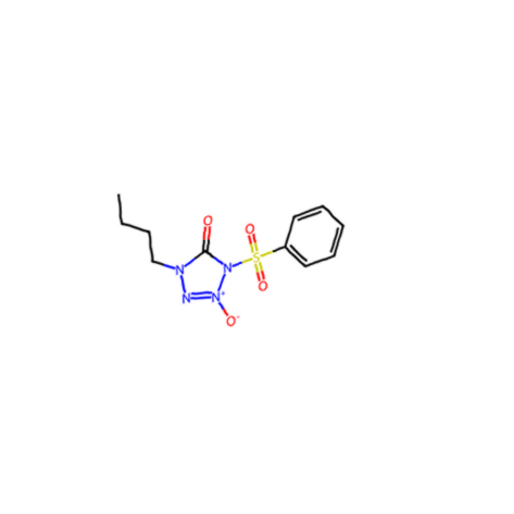 CCCCn1n[n+]([O-])n(S(=O)(=O)c2ccccc2)c1=O